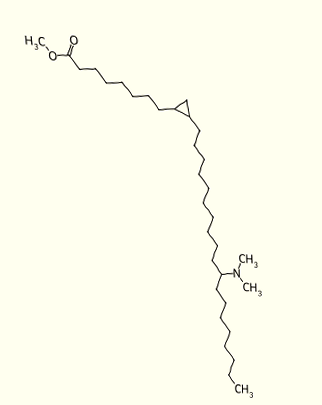 CCCCCCCCC(CCCCCCCCCCC1CC1CCCCCCCC(=O)OC)N(C)C